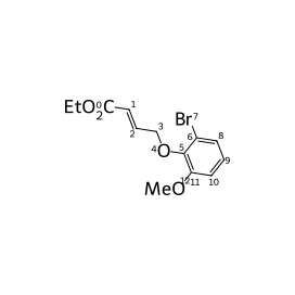 CCOC(=O)/C=C/COc1c(Br)cccc1OC